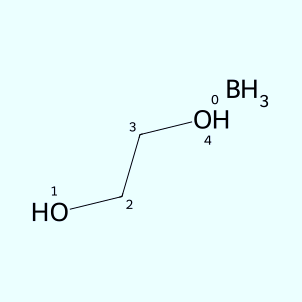 B.OCCO